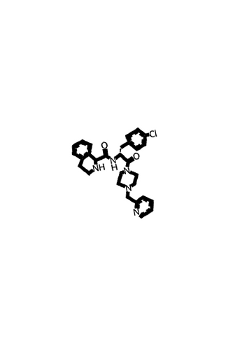 O=C(N[C@H](Cc1ccc(Cl)cc1)C(=O)N1CCN(Cc2ccccn2)CC1)C1N[CH]Cc2ccccc21